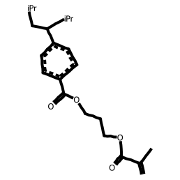 C=C(C)C(=O)OCCCOC(=O)c1ccc(C(CC(C)C)C(C)C)cc1